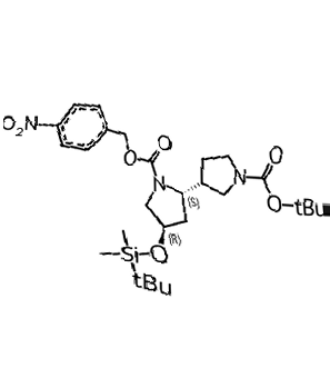 CC(C)(C)OC(=O)N1CCC([C@@H]2C[C@@H](O[Si](C)(C)C(C)(C)C)CN2C(=O)OCc2ccc([N+](=O)[O-])cc2)C1